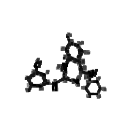 Cc1cc(Cl)cc(Nc2nc(NC3CCCCC3)c3ccc(C)cc3n2)c1